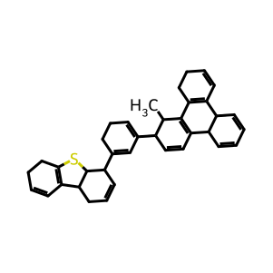 CC1C2=C(C=CC1C1=CCCC(C3C=CCC4C5=C(CCC=C5)SC34)=C1)C1C=CC=CC1C1=C2CCC=C1